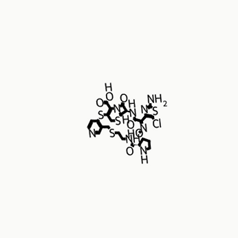 Nc1nc(/C(=N/O)C(=O)N[C@@H]2C(=O)N3C(C(=O)O)=C(Sc4ccncc4CSCCNC(=O)[C@@H]4CCCN4)CS[C@@H]23)c(Cl)s1